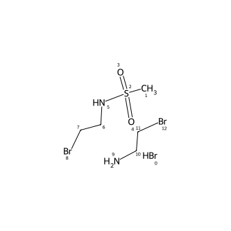 Br.CS(=O)(=O)NCCBr.NCCBr